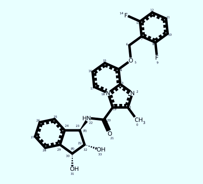 Cc1nc2c(OCc3c(F)cccc3F)cccn2c1C(=O)N[C@@H]1c2ccccc2[C@@H](O)[C@H]1O